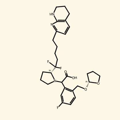 O=C(O)C(c1cc(F)ccc1CO[C@@H]1CCCO1)N1CCC[C@@H]1C(F)(F)CCCCc1ccc2c(n1)NCCC2